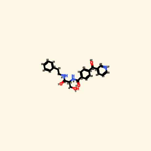 O=C(N[C@@H](CO)C(=O)NCCc1ccccc1)c1ccc(C(=O)c2cccnc2)cc1